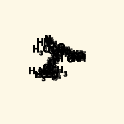 Cc1cc(C[C@@H](NC(=O)N2CCC(c3cc4ccccc4[nH]c3=O)CC2)C(=O)N2CCC3(CCN(C(=O)[C@H](C)C(C)(OC(N)=O)c4ccccc4)CC3)C2)cc2cn[nH]c12